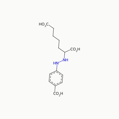 O=C(O)CCCCC(NNc1ccc(C(=O)O)cc1)C(=O)O